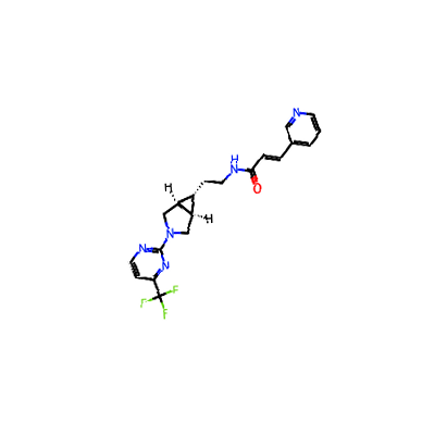 O=C(/C=C/c1cccnc1)NCC[C@@H]1[C@H]2CN(c3nccc(C(F)(F)F)n3)C[C@@H]12